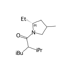 CCC(C)C(C(=O)N1CC(C)C[C@H]1CC)C(C)C